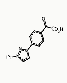 CC(C)n1ccc(-c2ccc(C(=O)C(=O)O)cc2)n1